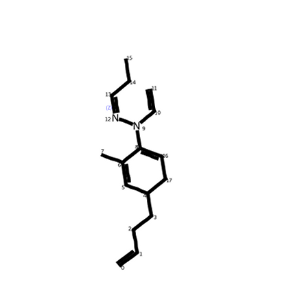 C=CCCC1C=C(C)C(N(C=C)/N=C\CC)=CC1